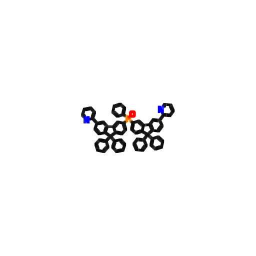 O=P(c1ccccc1)(c1ccc2c(c1)-c1cc(-c3ccccn3)ccc1C2(c1ccccc1)c1ccccc1)c1ccc2c(c1)-c1cc(-c3ccccn3)ccc1C2(c1ccccc1)c1ccccc1